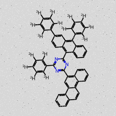 [2H]c1c([2H])c([2H])c(-c2ccc3c(-c4nc(-c5c([2H])c([2H])c([2H])c([2H])c5[2H])nc(-c5cc6c7ccccc7ccc6c6ccccc56)n4)c4ccccc4c(-c4c([2H])c([2H])c([2H])c([2H])c4[2H])c3c2)c([2H])c1[2H]